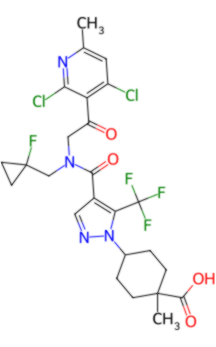 Cc1cc(Cl)c(C(=O)CN(CC2(F)CC2)C(=O)c2cnn(C3CCC(C)(C(=O)O)CC3)c2C(F)(F)F)c(Cl)n1